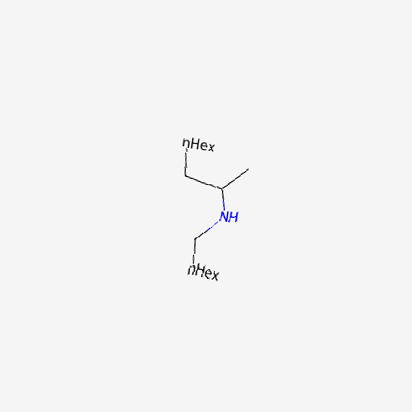 CCCCCCCNC(C)CCCCCCC